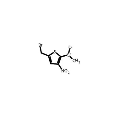 C[S+]([O-])c1sc(CBr)cc1[N+](=O)[O-]